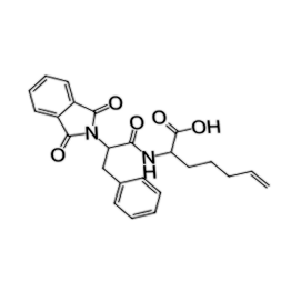 C=CCCCC(NC(=O)C(Cc1ccccc1)N1C(=O)c2ccccc2C1=O)C(=O)O